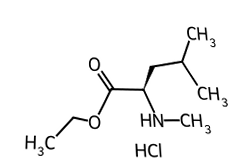 CCOC(=O)[C@@H](CC(C)C)NC.Cl